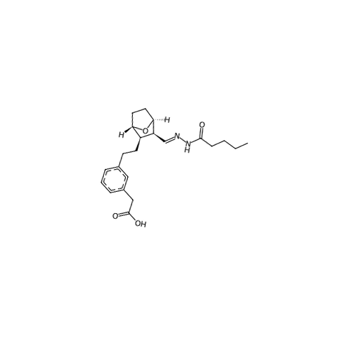 CCCCC(=O)NN=C[C@H]1[C@@H](CCc2cccc(CC(=O)O)c2)[C@@H]2CC[C@@H]1O2